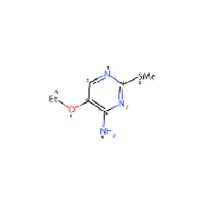 CCOc1cnc(SC)nc1N